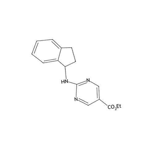 CCOC(=O)c1cnc(NC2CCc3ccccc32)nc1